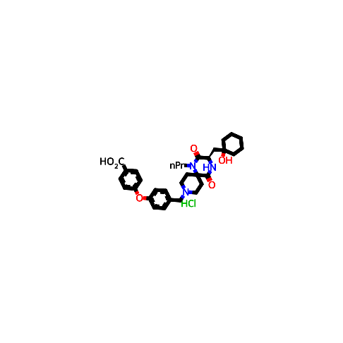 CCCN1C(=O)[C@@H](CC2(O)CCCCC2)NC(=O)C12CCN(Cc1ccc(Oc3ccc(C(=O)O)cc3)cc1)CC2.Cl